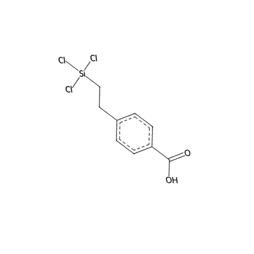 O=C(O)c1ccc(CC[Si](Cl)(Cl)Cl)cc1